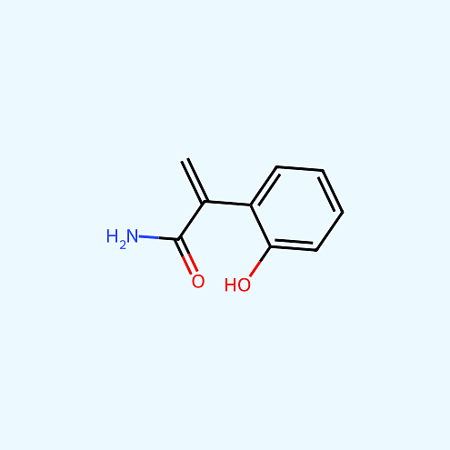 C=C(C(N)=O)c1ccccc1O